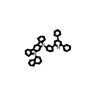 c1ccc(-c2cc(-c3ccccc3)nc(-c3cccc(-n4c5ccccc5c5cc6c7ccccc7n(-c7cccc8ccccc78)c6cc54)c3)c2)cc1